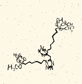 CO[Si](CCCCCCn1nnnc1Cc1nnnn1CCCCCC[Si](OC)(OC)OC)(OC)OC